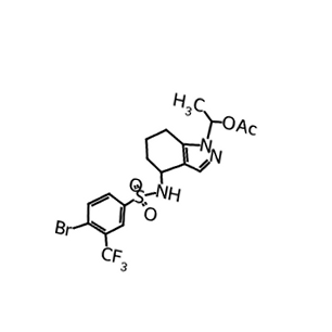 CC(=O)OC(C)n1ncc2c1CCCC2NS(=O)(=O)c1ccc(Br)c(C(F)(F)F)c1